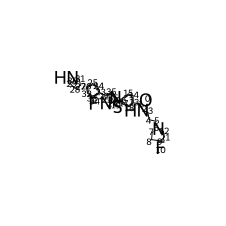 O=C(NCCCN1CCC(F)CC1)c1ccc2c(c1)sc1nc(-c3ccc([C@@H]4CCNC4)cc3F)cn12